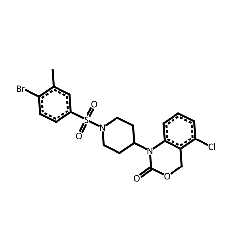 Cc1cc(S(=O)(=O)N2CCC(N3C(=O)OCc4c(Cl)cccc43)CC2)ccc1Br